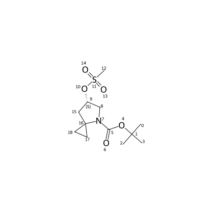 CC(C)(C)OC(=O)N1C[C@@H](OS(C)(=O)=O)CC12CC2